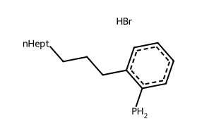 Br.CCCCCCCCCCc1ccccc1P